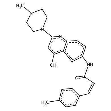 Cc1ccc(/C=C\C(=O)Nc2ccc3nc(N4CCN(C)CC4)cc(C)c3c2)cc1